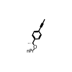 CC#Cc1ccc([C@@H](C)OCCC)cc1